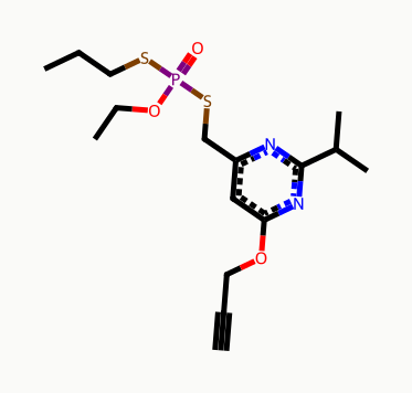 C#CCOc1cc(CSP(=O)(OCC)SCCC)nc(C(C)C)n1